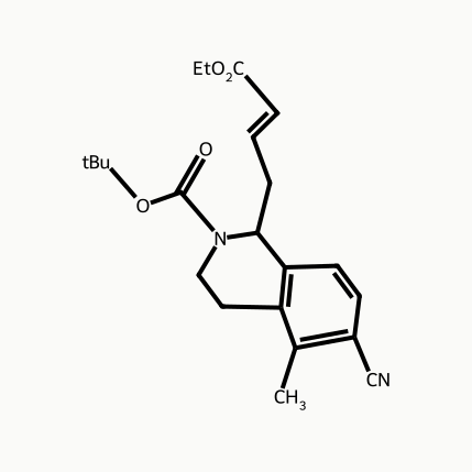 CCOC(=O)/C=C/CC1c2ccc(C#N)c(C)c2CCN1C(=O)OC(C)(C)C